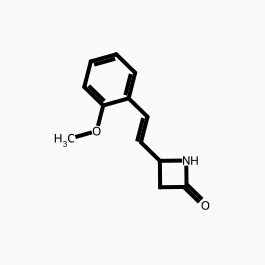 COc1ccccc1C=CC1CC(=O)N1